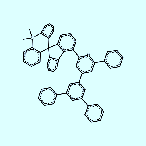 C[Si]1(C)c2ccccc2C2(c3ccccc3-c3c(-c4cc(-c5cc(-c6ccccc6)cc(-c6ccccc6)c5)cc(-c5ccccc5)n4)cccc32)c2ccccc21